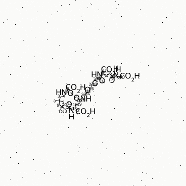 CC(C)(CCNC(=O)C(=O)O)CC(C)(C)CC(=O)N[C@@H](CCC(=O)NCCOCCOCC(=O)N[C@@H](CCC(=O)NCC(=O)O)C(=O)O)C(=O)O